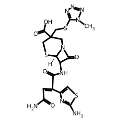 Cn1nnnc1SCC1(C(=O)O)CS[C@@H]2C(NC(=O)C(=CC(N)=O)c3csc(N)n3)C(=O)N2C1